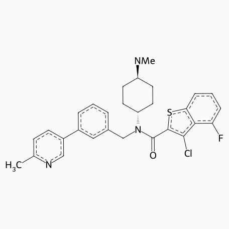 CN[C@H]1CC[C@H](N(Cc2cccc(-c3ccc(C)nc3)c2)C(=O)c2sc3cccc(F)c3c2Cl)CC1